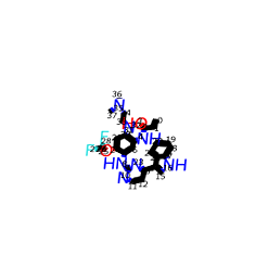 C=CC(O)Nc1cc(Nc2nccc(-c3c[nH]c4ccccc34)n2)c(OC(F)F)cc1N(C)CCN(C)C